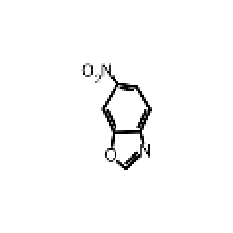 O=[N+]([O-])c1ccc2ncoc2c1